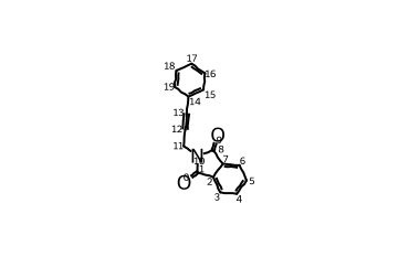 O=C1c2ccccc2C(=O)N1CC#Cc1ccccc1